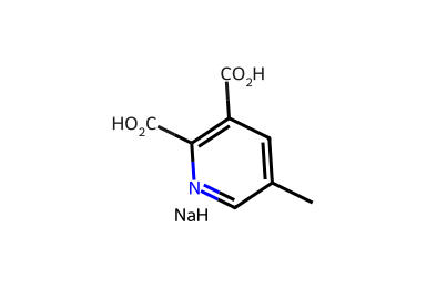 Cc1cnc(C(=O)O)c(C(=O)O)c1.[NaH]